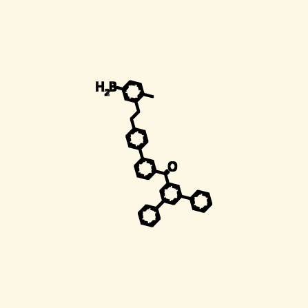 Bc1ccc(C)c(CCc2ccc(-c3cccc(C(=O)c4cc(-c5ccccc5)cc(-c5ccccc5)c4)c3)cc2)c1